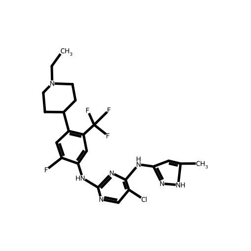 CCN1CCC(c2cc(F)c(Nc3ncc(Cl)c(Nc4cc(C)[nH]n4)n3)cc2C(F)(F)F)CC1